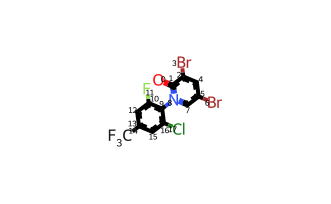 O=c1c(Br)cc(Br)cn1-c1c(F)cc(C(F)(F)F)cc1Cl